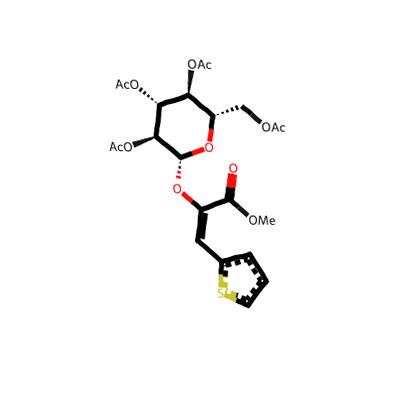 COC(=O)C(=Cc1cccs1)O[C@H]1O[C@@H](COC(C)=O)[C@H](OC(C)=O)[C@@H](OC(C)=O)[C@@H]1OC(C)=O